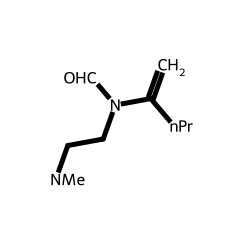 C=C(CCC)N(C=O)CCNC